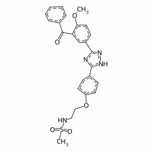 COc1ccc(-c2n[nH]c(-c3ccc(OCCNS(C)(=O)=O)cc3)n2)cc1C(=O)c1ccccc1